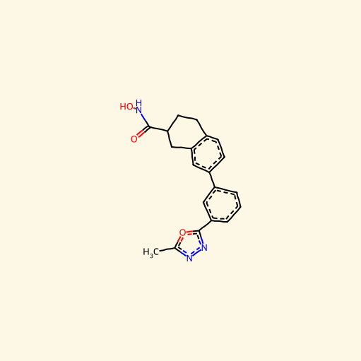 Cc1nnc(-c2cccc(-c3ccc4c(c3)CC(C(=O)NO)CC4)c2)o1